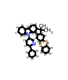 CC1(C)c2cc3c(cc2-c2c1ccc1c4ccccc4n(-c4ccc(-c5ccccc5)nc4)c21)Sc1ccccc1S3